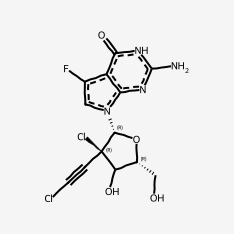 Nc1nc2c(c(F)cn2[C@@H]2O[C@H](CO)C(O)[C@]2(Cl)C#CCl)c(=O)[nH]1